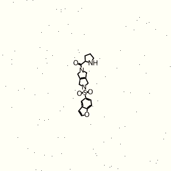 O=C(C1CCCN1)N1CC2=C(C1)CN(S(=O)(=O)c1ccc3occc3c1)C2